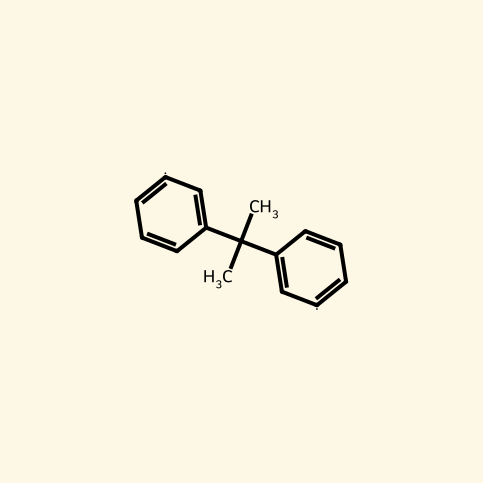 CC(C)(c1c[c]ccc1)c1c[c]ccc1